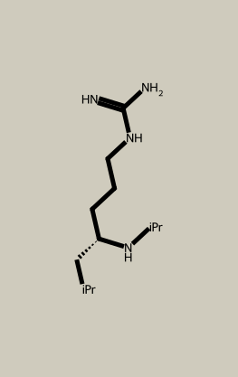 CC(C)C[C@H](CCCNC(=N)N)NC(C)C